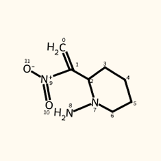 C=C(C1CCCCN1N)[N+](=O)[O-]